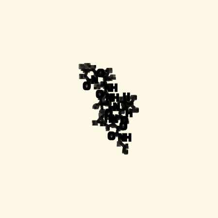 C=CCNC(=O)C(=O)C(CC1CC1)NC(=O)C1[C@@H]2[C@H](CN1C(=O)[C@@H](NC(=O)N[C@H](CN1C(=O)CC(C)(C)CC1=O)C(C)(C)C)C(C)(C)C)C2(C)C